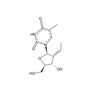 C/C=C1\[C@H](n2cc(C)c(=O)[nH]c2=O)O[C@H](CO)[C@H]1O